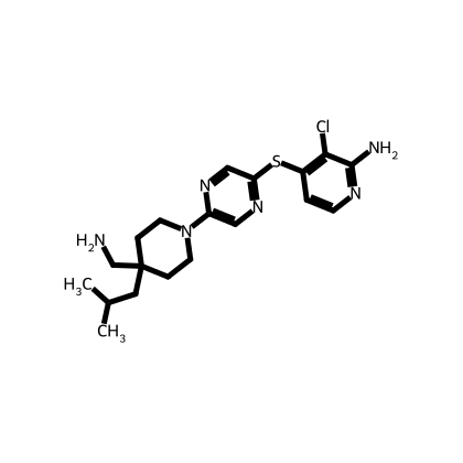 CC(C)CC1(CN)CCN(c2cnc(Sc3ccnc(N)c3Cl)cn2)CC1